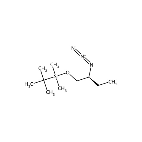 CC[C@@H](CO[Si](C)(C)C(C)(C)C)N=[N+]=[N-]